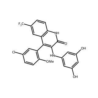 COc1ccc(Cl)cc1-c1c(Nc2cc(O)cc(O)c2)c(=O)[nH]c2ccc(C(F)(F)F)cc12